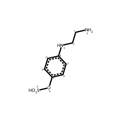 NCCNc1ccc(OS(=O)(=O)O)cc1